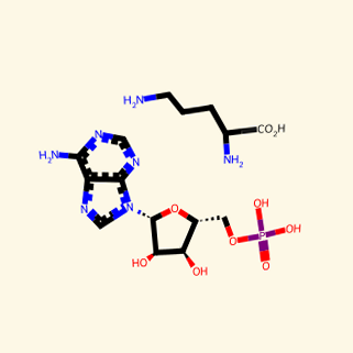 NCCCC(N)C(=O)O.Nc1ncnc2c1ncn2[C@@H]1O[C@H](COP(=O)(O)O)[C@@H](O)[C@H]1O